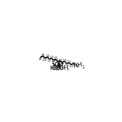 CC(O)OP(=O)(O)O.CCCCCCCCCCCCCCCCN